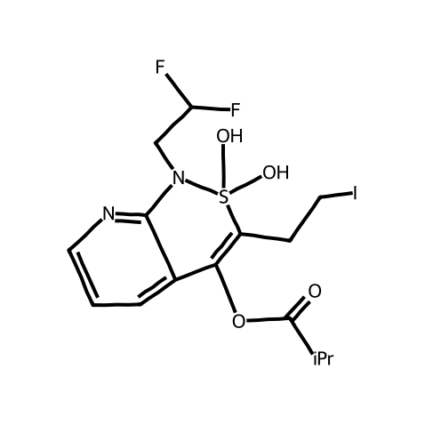 CC(C)C(=O)OC1=C(CCI)S(O)(O)N(CC(F)F)c2ncccc21